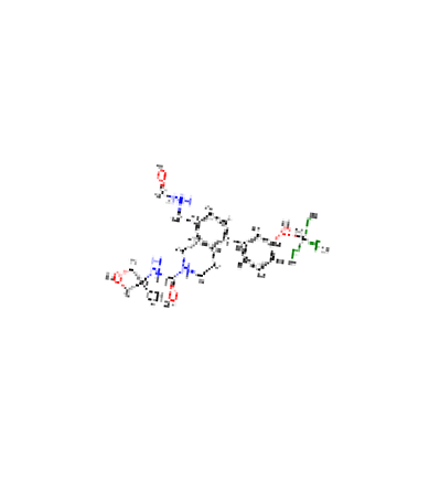 CC1(NC(=O)N2CCc3c(-c4cccc(OC(F)(F)F)c4)ccc(CNC=O)c3C2)COC1